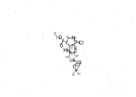 CCOC(=O)c1cnc(Cl)cc1N[C@H]1CCN(C(=O)OC(C)(C)C)C[C@H]1F